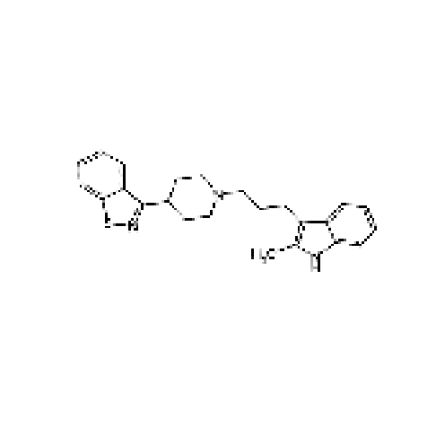 Cc1[nH]c2ccccc2c1CCCN1CCC(c2nsc3ccccc23)CC1